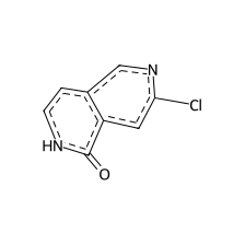 O=c1[nH]ccc2cnc(Cl)cc12